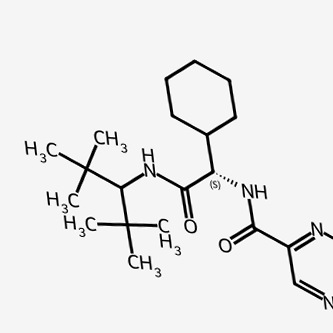 CC(C)(C)C(NC(=O)[C@@H](NC(=O)c1cnccn1)C1CCCCC1)C(C)(C)C